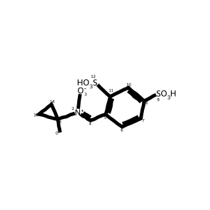 CC1([N+]([O-])=Cc2ccc(S(=O)(=O)O)cc2S(=O)(=O)O)CC1